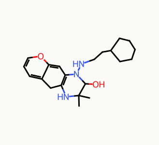 CC1(C)NC2=C(C=C3OC=CC=C3C2)N(NCCC2CCCCC2)C1O